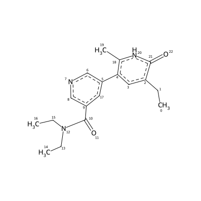 CCc1cc(-c2cncc(C(=O)N(CC)CC)c2)c(C)[nH]c1=O